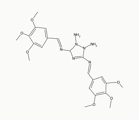 COc1cc(C=NC2=NC(N=Cc3cc(OC)c(OC)c(OC)c3)N(N)N2N)cc(OC)c1OC